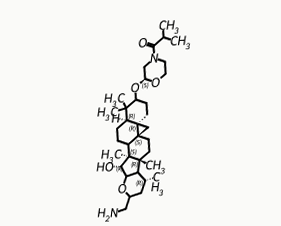 CC(C)C(=O)N1CCO[C@@H](OC2CC[C@]34C[C@]35CC[C@]3(C)C6C(OC(CN)C[C@H]6C)[C@H](O)[C@@]3(C)C5CC[C@H]4C2(C)C)C1